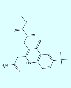 C=C(Cc1c(CC(N)=O)[nH]c2ccc(C(C)(C)C)cc2c1=O)C(=O)OC